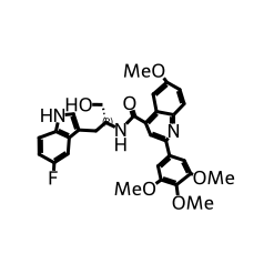 COc1ccc2nc(-c3cc(OC)c(OC)c(OC)c3)cc(C(=O)N[C@@H](CO)Cc3c[nH]c4ccc(F)cc34)c2c1